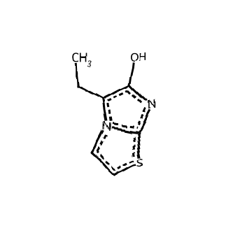 CCc1c(O)nc2sccn12